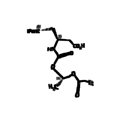 CCC[C@@H](C)C[C@@H](CC(=O)O)NC(=O)O[C@@H](C)OC(=O)CC